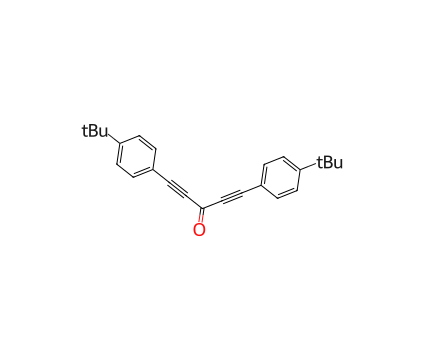 CC(C)(C)c1ccc(C#CC(=O)C#Cc2ccc(C(C)(C)C)cc2)cc1